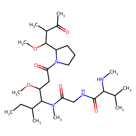 CCC(C)C(C(CC(=O)N1CCCC1C(OC)C(C)C(C)=O)OC)N(C)C(=O)CNC(=O)C(NC)C(C)C